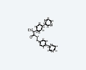 [CH2]CC(C(=O)CCc1ccc(-c2cnccn2)cc1)c1ccc(-c2cnccn2)cc1